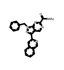 CNC(=O)c1ncc2c(-c3cc4ccccc4cn3)nn(Cc3ccccc3)c2n1